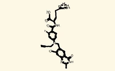 C#CCN(Cc1cc2c(=O)[nH]c(C)nc2cc1Cl)c1ccc(C(=O)NC(CCc2nnn[nH]2)C(=O)O)c(F)c1